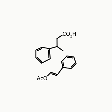 CC(=O)OC=Cc1ccccc1.CC(CC(=O)O)c1ccccc1